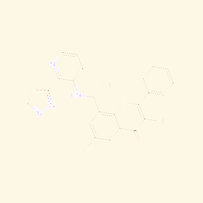 Cc1cc([C@@H](C)Nc2cccnc2-c2nnco2)c2oc(-c3ccccc3)c(C)c(=O)c2c1